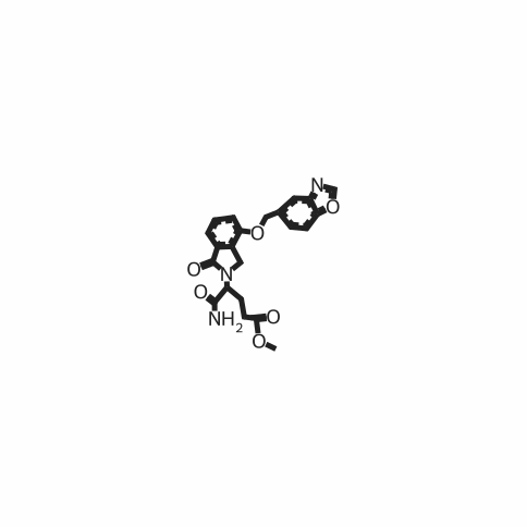 COC(=O)CCC(C(N)=O)N1Cc2c(OCc3ccc4ocnc4c3)cccc2C1=O